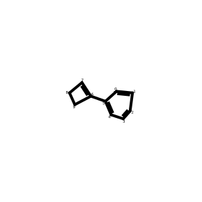 [c]1ccccc1C1=CCC1